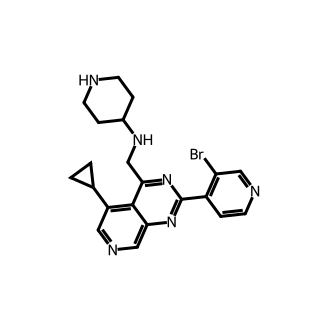 Brc1cnccc1-c1nc(CNC2CCNCC2)c2c(C3CC3)cncc2n1